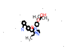 CCCc1c(Cc2ccc(-c3ccccc3C#N)cc2)c(=O)n(C2CCC(OCC(C)(C)O)CC2)c2ccnn12